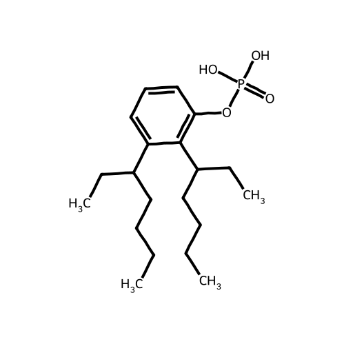 CCCCC(CC)c1cccc(OP(=O)(O)O)c1C(CC)CCCC